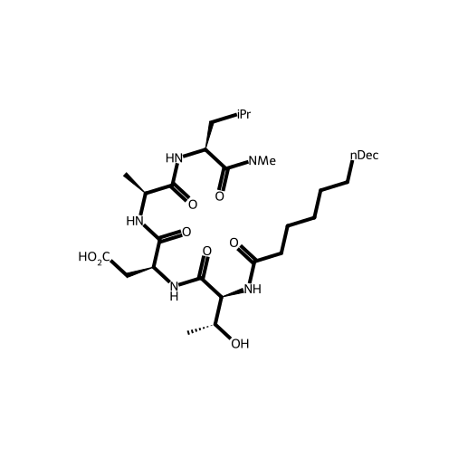 CCCCCCCCCCCCCCCC(=O)N[C@H](C(=O)N[C@@H](CC(=O)O)C(=O)N[C@@H](C)C(=O)N[C@@H](CC(C)C)C(=O)NC)[C@@H](C)O